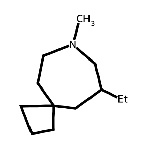 CCC1CN(C)CCC2(CCC2)C1